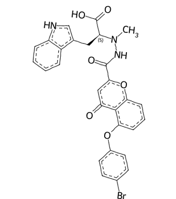 CN(NC(=O)c1cc(=O)c2c(Oc3ccc(Br)cc3)cccc2o1)[C@@H](Cc1c[nH]c2ccccc12)C(=O)O